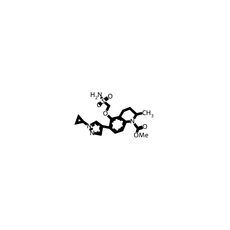 COC(=O)N1c2ccc(-c3cnn(C4CC4)c3)c(OCS(N)(=O)=O)c2CCC1C